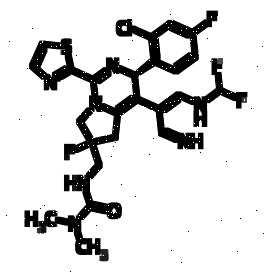 CN(C)C(=O)NCC1(F)CC2=C(/C(C=N)=C/NC(F)F)[C@H](c3ccc(F)cc3Cl)N=C(c3nccs3)N2C1